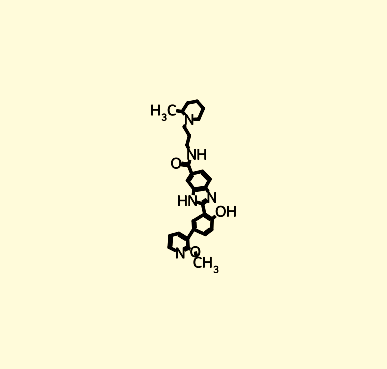 COc1ncccc1-c1ccc(O)c(-c2nc3ccc(C(=O)NCCCN4CCCCC4C)cc3[nH]2)c1